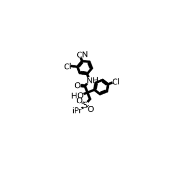 CC(C)S(=O)(=O)CC(O)(C(=O)Nc1ccc(C#N)c(Cl)c1)c1ccc(Cl)cc1